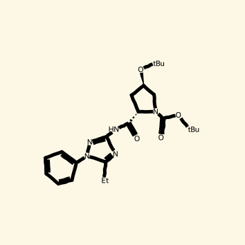 CCc1nc(NC(=O)[C@@H]2C[C@@H](OC(C)(C)C)CN2C(=O)OC(C)(C)C)nn1-c1ccccc1